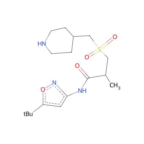 CC(CS(=O)(=O)CC1CCNCC1)C(=O)Nc1cc(C(C)(C)C)on1